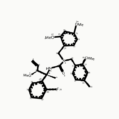 C=C[C@H](OC)[C@](C)(NC(=O)N(Cc1ccc(C)cc1OC)Cc1ccc(OC)cc1OC)c1ccccc1F